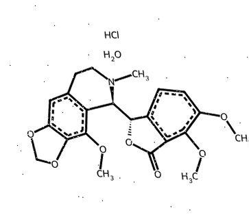 COc1ccc2c(c1OC)C(=O)O[C@@H]2[C@H]1c2c(cc3c(c2OC)OCO3)CCN1C.Cl.O